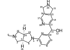 CN1C[C@@H]2CN(c3cccc(C(O)c4cc5c(cn4)CNC5)c3)C[C@@H]2C1